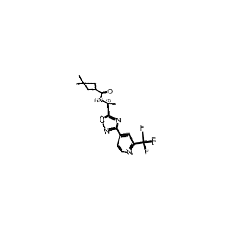 C[C@H](NC(=O)C1CC(C)(C)C1)c1nc(-c2ccnc(C(F)(F)F)c2)no1